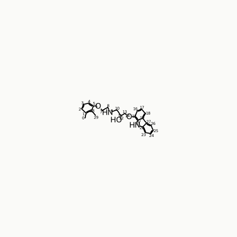 Cc1cccc(OCCNCC(O)COc2cccc3c2[nH]c2ccccc23)c1C